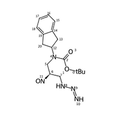 CC(C)(C)OC(=O)N(C[C@@H](CNN=N)N=O)C1Cc2ccccc2C1